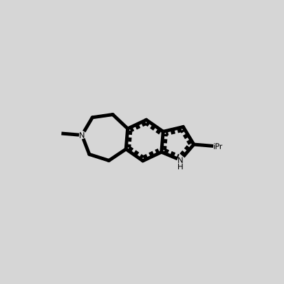 CC(C)c1cc2cc3c(cc2[nH]1)CCN(C)CC3